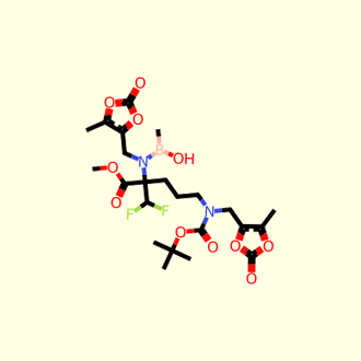 COC(=O)C(CCCN(Cc1oc(=O)oc1C)C(=O)OC(C)(C)C)(C(F)F)N(Cc1oc(=O)oc1C)B(C)O